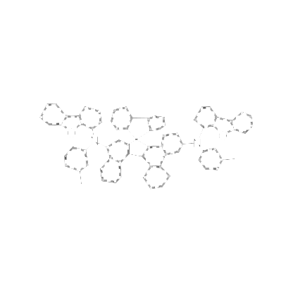 Cc1cccc(N(c2ccc3c4c(c5ccccc5c3c2)-c2c(cc(N(c3cccc(C)c3)c3cccc5c3oc3ccccc35)c3ccccc23)C42c3ccccc3-c3ccccc32)c2cccc3c2oc2ccccc23)c1